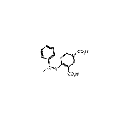 C[C@@H](NC1=C(C(=O)O)CN(C(=O)O)CC1)c1ccccc1